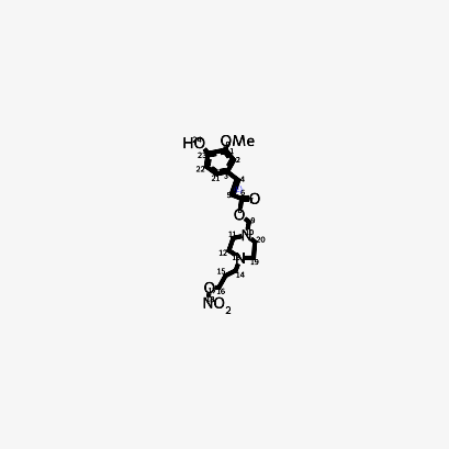 COc1cc(/C=C/C(=O)OCN2CCN(CCCO[N+](=O)[O-])CC2)ccc1O